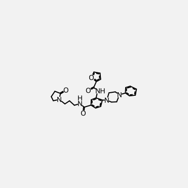 O=C(NCCCN1CCCC1=O)c1ccc(N2CCN(c3ccccc3)CC2)c(NC(=O)c2ccco2)c1